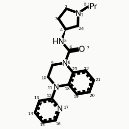 CC(C)N1CC[C@H](NC(=O)N2CCN(c3ccccn3)c3ccccc32)C1